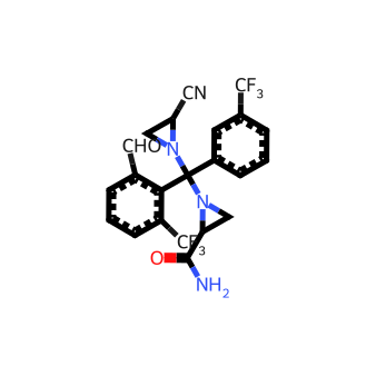 N#CC1CN1C(c1cccc(C(F)(F)F)c1)(c1c(C=O)cccc1C(F)(F)F)N1CC1C(N)=O